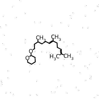 CC(C)=CCC/C(C)=C/CCC(C)CCOC1CCCCO1